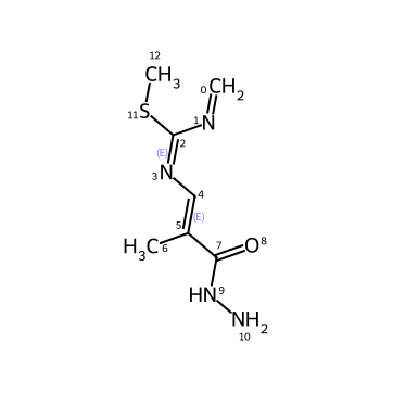 C=N/C(=N\C=C(/C)C(=O)NN)SC